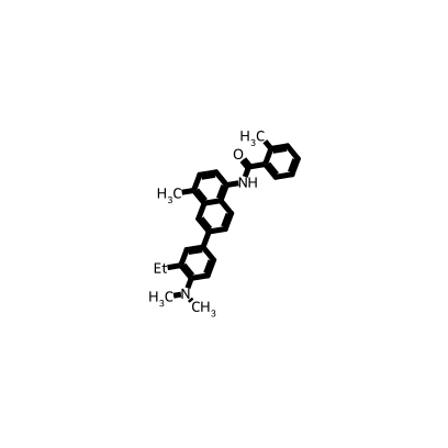 CCc1cc(-c2ccc3c(NC(=O)c4ccccc4C)ccc(C)c3c2)ccc1N(C)C